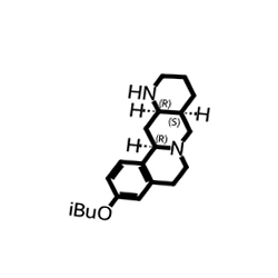 CC(C)COc1ccc2c(c1)CCN1C[C@@H]3CCCN[C@@H]3C[C@H]21